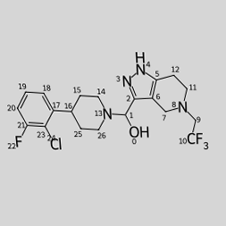 OC(c1n[nH]c2c1CN(CC(F)(F)F)CC2)N1CCC(c2cccc(F)c2Cl)CC1